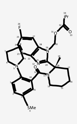 CSc1ccc(N2CCCC2)c(C(=O)N2CCCC[C@@]2(C)c2nc3ncc(F)cc3n2COC(=O)C(C)C)c1